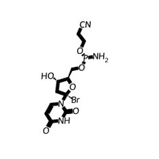 N#CCCOP(N)OC[C@H]1O[C@@](Br)(n2ccc(=O)[nH]c2=O)C[C@@H]1O